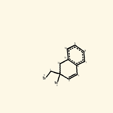 BrCC1(Br)C=Cc2ccccc2C1